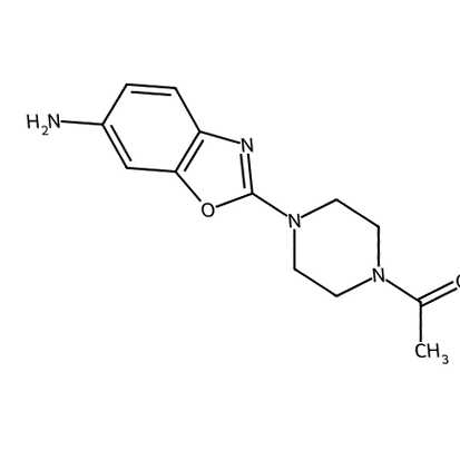 CC(=O)N1CCN(c2nc3ccc(N)cc3o2)CC1